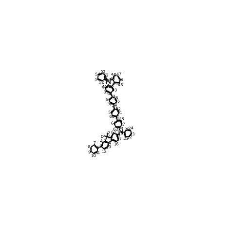 CC1(C)c2cc(-c3ccccc3)ccc2-c2ccc(N(c3ccccc3)c3ccc(-c4ccc(-c5ccc(-c6ccc7c(c6)c6ccccc6n7-c6ccccc6)cc5)cc4)cc3)cc21